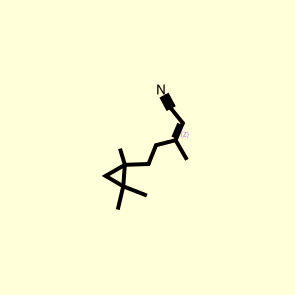 C/C(=C/C#N)CCC1(C)CC1(C)C